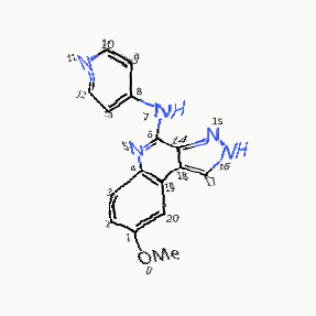 COc1ccc2nc(Nc3ccncc3)c3n[nH]cc3c2c1